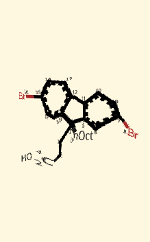 CCCCCCCCC1(CCC(=O)O)c2cc(Br)ccc2-c2ccc(Br)cc21